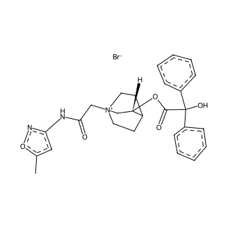 Cc1cc(NC(=O)C[N+]23CCC(CC2)[C@@H](OC(=O)C(O)(c2ccccc2)c2ccccc2)C3)no1.[Br-]